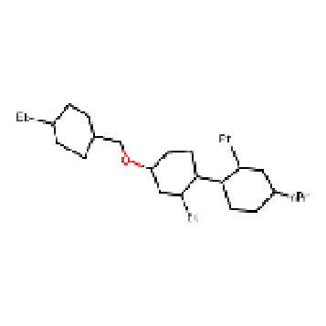 CCCC1CCC(C2CCC(OCC3CCC(CC)CC3)CC2CC)C(CC)C1